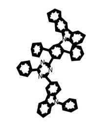 c1ccc(-c2nc(-c3ccc4c(c3)c3ccccc3n4-c3ccccc3)nc(-c3cc(-c4ccccc4)c(-n4c5ccccc5c5cc6ccccc6cc54)cc3-c3ccccc3)n2)cc1